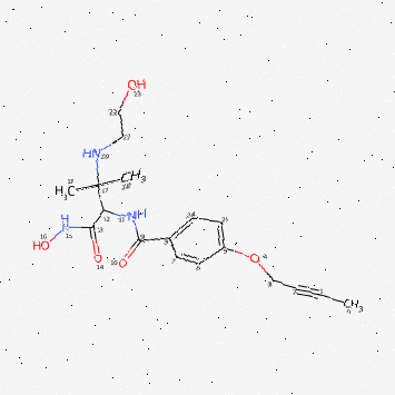 CC#CCOc1ccc(C(=O)NC(C(=O)NO)C(C)(C)NCCO)cc1